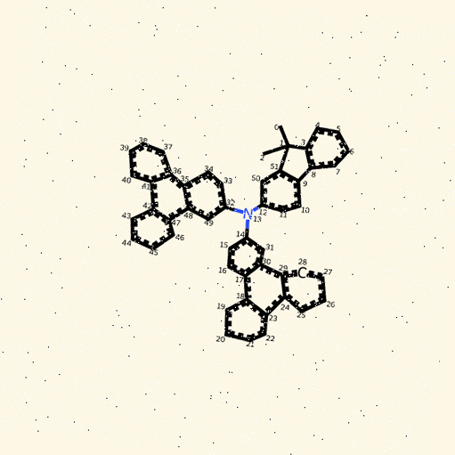 CC1(C)c2ccccc2-c2ccc(N(c3ccc4c5ccccc5c5ccccc5c4c3)c3ccc4c5ccccc5c5ccccc5c4c3)cc21